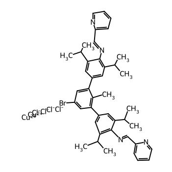 Cc1c(-c2cc(C(C)C)c(N=Cc3ccccn3)c(C(C)C)c2)cc(Br)cc1-c1cc(C(C)C)c(N=Cc2ccccn2)c(C(C)C)c1.[Cl-].[Cl-].[Cl-].[Cl-].[Cu+2].[Cu+2]